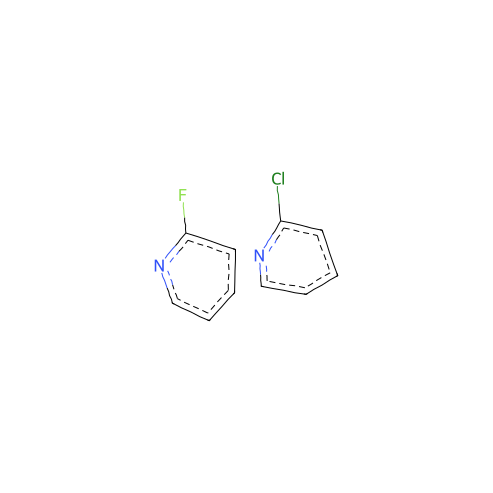 Clc1ccccn1.Fc1ccccn1